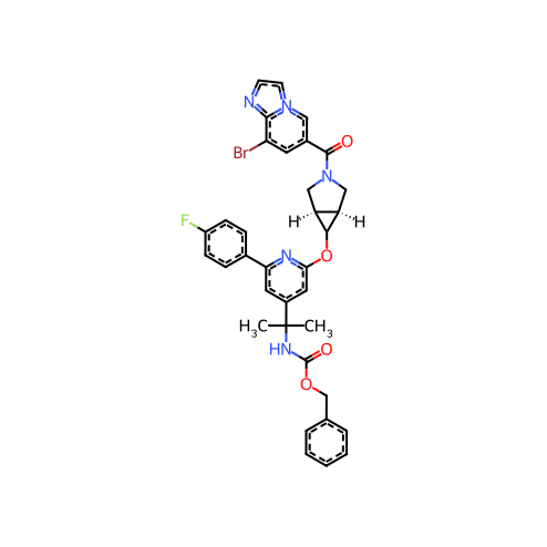 CC(C)(NC(=O)OCc1ccccc1)c1cc(OC2[C@H]3CN(C(=O)c4cc(Br)c5nccn5c4)C[C@@H]23)nc(-c2ccc(F)cc2)c1